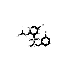 CCN(Cc1cccc(F)c1)S(=O)(=O)c1cc(F)cnc1OC(F)F